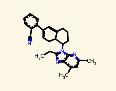 CCc1nc2c(C)cc(C)nc2n1C1CCCC2=CC(c3ccccc3C#N)=CCC21